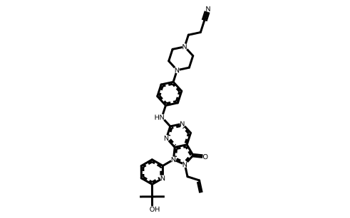 C=CCn1c(=O)c2cnc(Nc3ccc(N4CCN(CCC#N)CC4)cc3)nc2n1-c1cccc(C(C)(C)O)n1